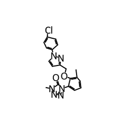 Cc1cccc(-n2nnn(C)c2=O)c1OCc1ccn(-c2ccc(Cl)cc2)n1